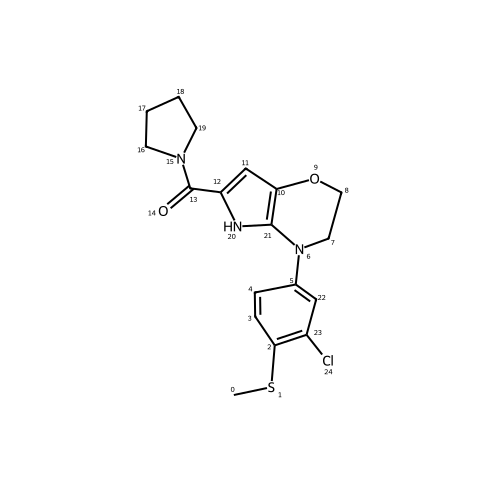 CSc1ccc(N2CCOc3cc(C(=O)N4CCCC4)[nH]c32)cc1Cl